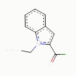 CCOC(=O)Cn1c(C(=O)Cl)cc2ccccc21